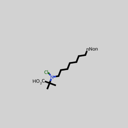 CCCCCCCCCCCCCCCCN(Cl)C(C)(C)C(=O)O